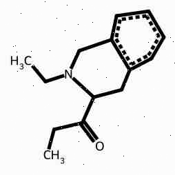 CCC(=O)C1Cc2ccccc2CN1CC